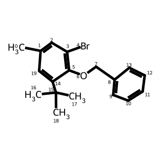 Cc1cc(Br)c(OCc2ccccc2)c(C(C)(C)C)c1